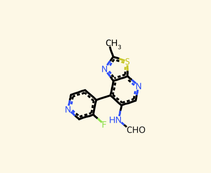 Cc1nc2c(-c3ccncc3F)c(NC=O)cnc2s1